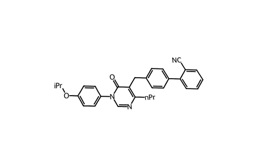 CCCc1ncn(-c2ccc(OC(C)C)cc2)c(=O)c1Cc1ccc(-c2ccccc2C#N)cc1